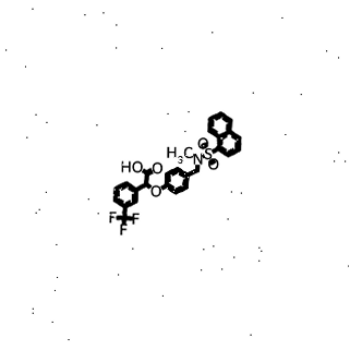 CN(Cc1ccc(OC(C(=O)O)c2cccc(C(F)(F)F)c2)cc1)S(=O)(=O)c1cccc2ccccc12